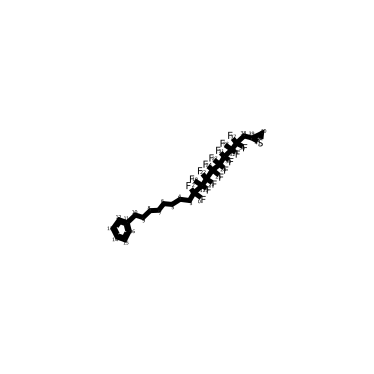 FC(F)(CCCCCCCCc1ccccc1)C(F)(F)C(F)(F)C(F)(F)C(F)(F)C(F)(F)C(F)(F)C(F)(F)CC1CS1